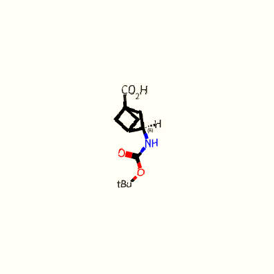 CC(C)(C)OC(=O)N[C@@H]1CC2(C(=O)O)CC1C2